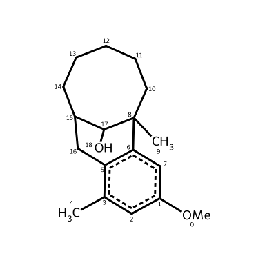 COc1cc(C)c2c(c1)C1(C)CCCCCC(C2)C1O